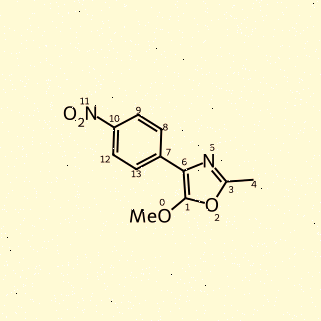 COc1oc(C)nc1-c1ccc([N+](=O)[O-])cc1